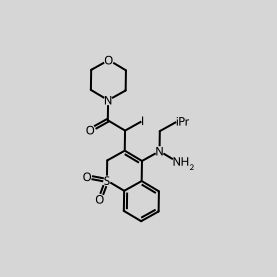 CC(C)CN(N)C1=C(C(I)C(=O)N2CCOCC2)CS(=O)(=O)c2ccccc21